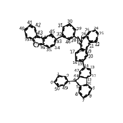 c1ccc(C2c3ccccc3-c3ccc(-c4ccc5c(c4)c4ccccc4n5-c4cccc(-c5ccc6oc7ccccc7c6c5)c4)cc32)cc1